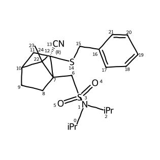 CC(C)N(C(C)C)S(=O)(=O)CC12CCC(C[C@@]1(C#N)SCc1ccccc1)C2(C)C